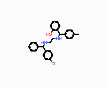 Cc1ccc(C(NCCNC(c2ccccc2)c2ccc(Cl)cc2)c2ccccc2O)cc1